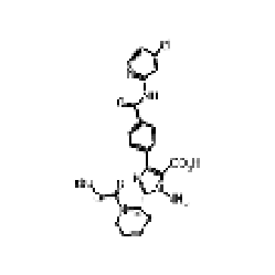 CC(C)(C)OC(=O)N1CCCC[C@H]1c1nc(-c2ccc(C(=O)Nc3cc(Cl)ccn3)cc2)c(C(=O)O)n1N